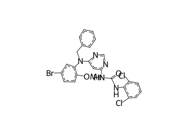 COc1ccc(Br)cc1N(Cc1ccccc1)c1cc(NC(=O)Nc2c(Cl)cccc2Cl)ncn1